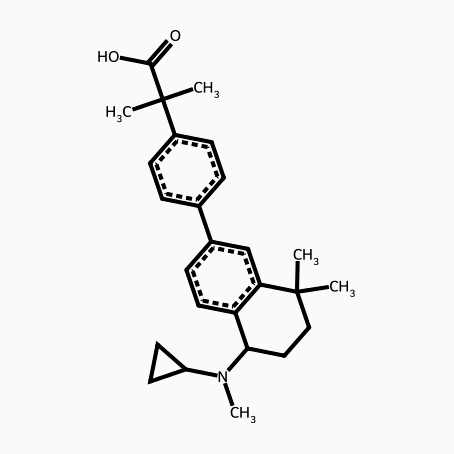 CN(C1CC1)C1CCC(C)(C)c2cc(-c3ccc(C(C)(C)C(=O)O)cc3)ccc21